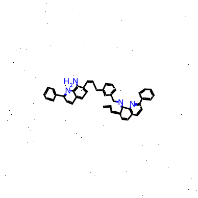 C=C/C=C1/C=Cc2ccc(-c3ccccc3)nc2/C1=N/Cc1cccc(C/C=C\c2ccc3ccc(-c4ccccc4)nc3c2N)c1